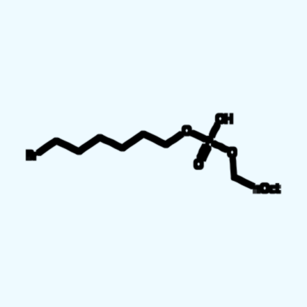 CCCCCCCCCOP(=O)(O)OCCCCCCBr